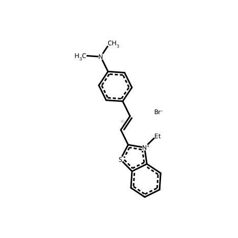 CC[n+]1c(/C=C/c2ccc(N(C)C)cc2)sc2ccccc21.[Br-]